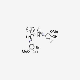 COc1cc(/C=N/NC(=O)C23CC4CC(C2)CC(C(=O)N/N=C/c2cc(Br)c(O)c(OC)c2)(C4)C3)cc(Br)c1O